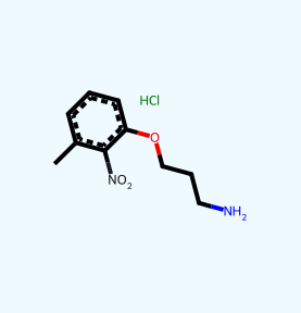 Cc1cccc(OCCCN)c1[N+](=O)[O-].Cl